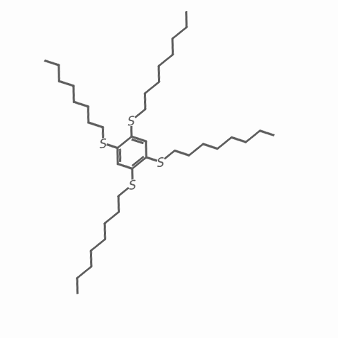 CCCCCCCCSc1cc(SCCCCCCCC)c(SCCCCCCCC)cc1SCCCCCCCC